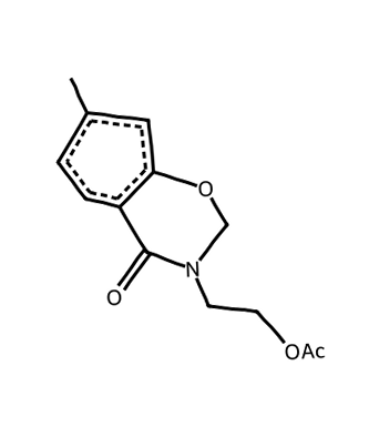 CC(=O)OCCN1COc2cc(C)ccc2C1=O